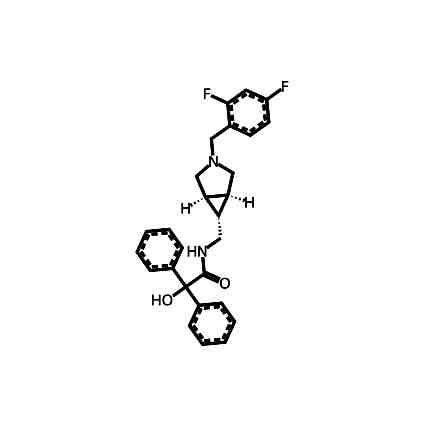 O=C(NC[C@@H]1[C@H]2CN(Cc3ccc(F)cc3F)C[C@@H]12)C(O)(c1ccccc1)c1ccccc1